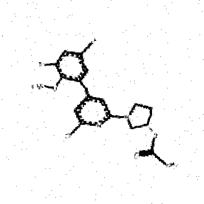 COc1c(Br)cc(F)cc1-c1cc(Cl)nc(N2CC[C@H](OC(N)=O)C2)c1